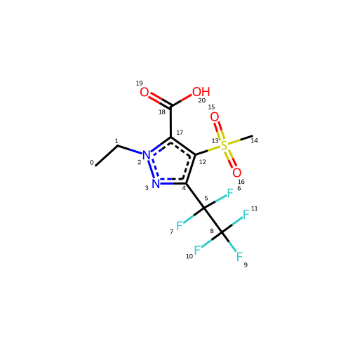 CCn1nc(C(F)(F)C(F)(F)F)c(S(C)(=O)=O)c1C(=O)O